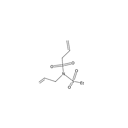 C=CCN(S(=O)(=O)CC)S(=O)(=O)CC=C